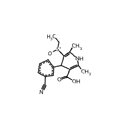 CC[S+]([O-])C1=C(C)NC(C)=C(C(=O)O)C1c1cccc(C#N)c1